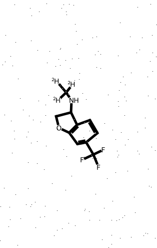 [2H]C([2H])([2H])NC1COc2cc(C(F)(F)F)ccc21